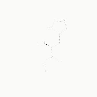 CC(C)(C)OC(=O)[C@@H](N)Cc1cnc[nH]1